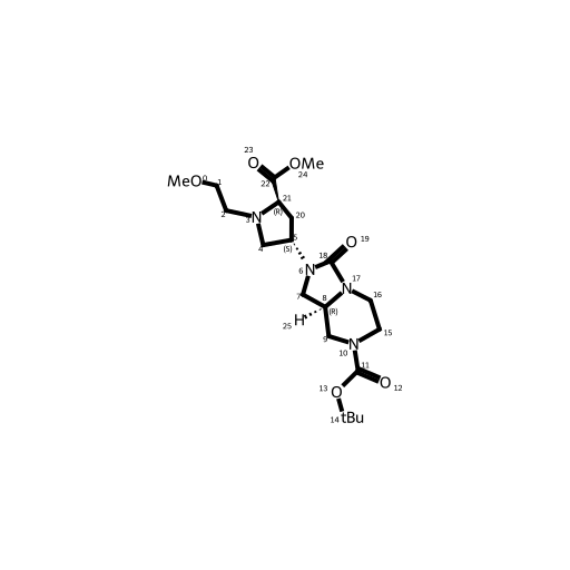 COCCN1C[C@@H](N2C[C@@H]3CN(C(=O)OC(C)(C)C)CCN3C2=O)C[C@@H]1C(=O)OC